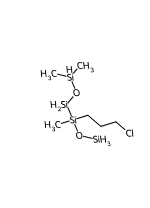 C[SiH](C)O[SiH2][Si](C)(CCCCl)O[SiH3]